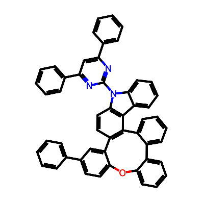 c1ccc(-c2ccc3oc4ccccc4c4ccccc4c4c(ccc5c4c4ccccc4n5-c4nc(-c5ccccc5)cc(-c5ccccc5)n4)c3c2)cc1